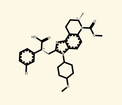 COC(=O)N1c2ccc3c(nc(C[C@@H](C(=O)O)c4cccc(Cl)c4)n3C3CCC(OC)CC3)c2CC[C@@H]1C